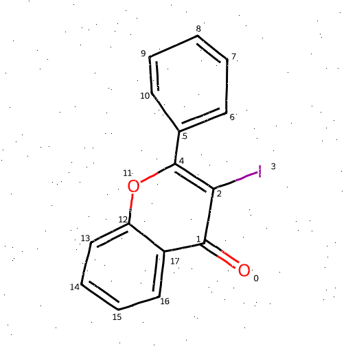 O=c1c(I)c(-c2ccccc2)oc2ccccc12